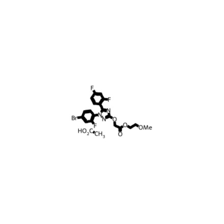 CC(=O)O.COCCOC(=O)COc1nc(-c2ccc(F)cc2F)n(-c2ccc(Br)cc2F)n1